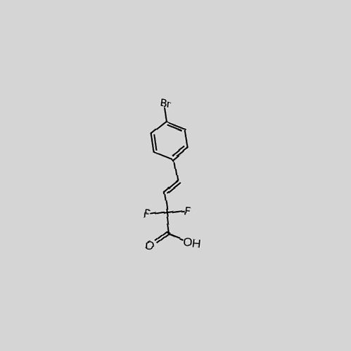 O=C(O)C(F)(F)C=Cc1ccc(Br)cc1